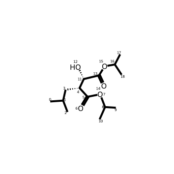 CC(C)C[C@@H](C(=O)OC(C)C)[C@H](O)C(=O)OC(C)C